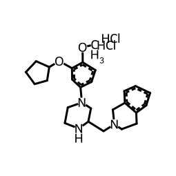 COc1ccc(N2CCNC(CN3CCc4ccccc4C3)C2)cc1OC1CCCC1.Cl.Cl